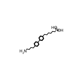 NCCCCc1ccc(-c2ccc(CCCCCCN(O)O)cc2)cc1